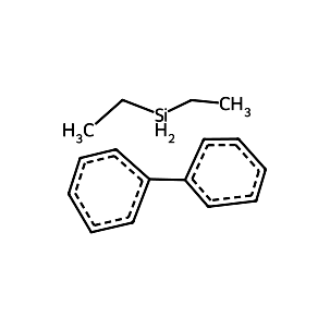 CC[SiH2]CC.c1ccc(-c2ccccc2)cc1